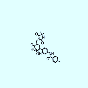 Cc1ccc(C(=O)Nc2ccc(C(CC(CN3C(=O)N(C)C(C)(C)C3=O)C(=O)O)=NO)cc2)cc1